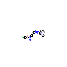 Cc1nc(N2CCCC2)ccc1Nc1nc2ccc(-c3ccc(NC(=O)Cc4ccc(F)cc4)cc3)cn2n1